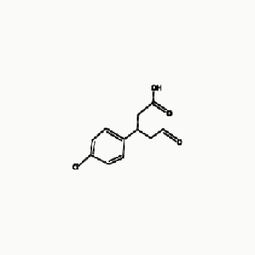 O=CCC(CC(=O)O)c1ccc(Cl)cc1